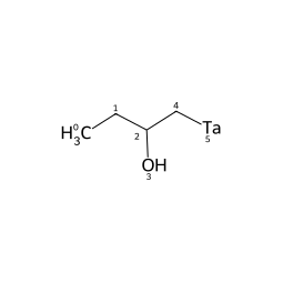 CCC(O)[CH2][Ta]